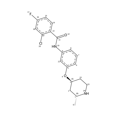 C[C@@H]1C[C@@H](Oc2cccc(NC(=O)c3ccc(F)cc3Cl)c2)CCN1